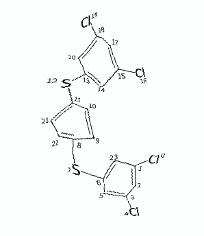 Clc1cc(Cl)cc(Sc2ccc(Sc3cc(Cl)cc(Cl)c3)cc2)c1